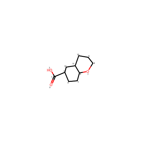 O=C(O)C1CCC2OCCCC2C1